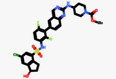 CC(C)(C)OC(=O)N1CCC(Nc2ncc3cc(-c4c(F)ccc(NS(=O)(=O)c5cc(Cl)cc6c5CC[C@H]6O)c4F)ccc3n2)CC1